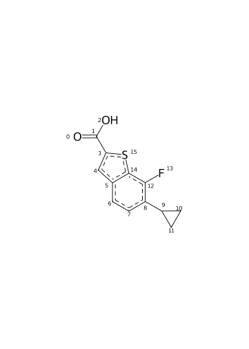 O=C(O)c1cc2ccc(C3CC3)c(F)c2s1